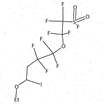 CCOC(I)CC(F)(F)C(F)(F)OC(F)(F)C(F)(F)S(=O)(=O)F